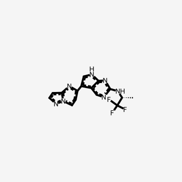 C[C@@H](Nc1ncc2c(-c3ccn4nccc4n3)c[nH]c2n1)C(F)(F)F